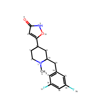 CN1CCC(c2cc(=O)[nH]o2)CC1Cc1cc(F)cc(F)c1